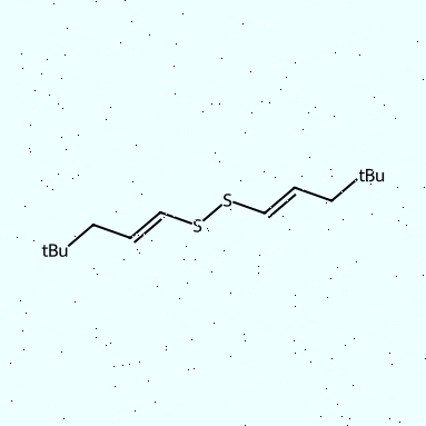 CC(C)(C)CC=CSSC=CCC(C)(C)C